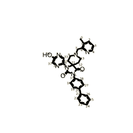 Cc1cccnc1CN1CCC2(CC1)C(=O)N(c1ccc(-c3ccccc3)cc1)C(=O)N2c1cnc(O)cn1